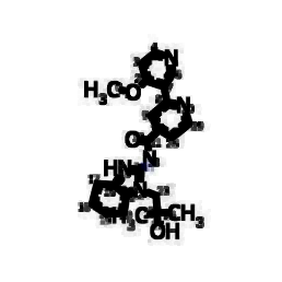 COc1ccncc1-c1cc(C(=O)/N=c2\[nH]c3ccccc3n2CC(C)(C)O)ccn1